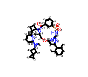 Cc1cccc(C)c1-c1cc2nc(n1)NS(=O)(=O)c1cccc(c1)C(=O)N(C1CCC1c1cccc(N(C)C3CC4(CC4)C3)n1)[C@H](CC(C)C)CO2